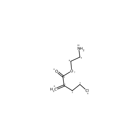 C=C(CCCl)C(=O)OCCN